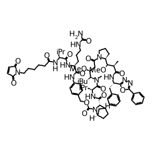 CC[C@H](C)[C@@H]([C@H](CC(=O)N1CCC[C@H]1[C@H](OC)[C@@H](C)C(=O)N[C@@H](Cc1ccccc1)c1nnc(-c2ccccc2)o1)OC)N(C)C(=O)[C@@H](NC(=O)[C@@H]1[C@H]2CC[C@H](C2)N1C(=O)OCc1ccc(NC(=O)[C@H](CCCNC(N)=O)NC(=O)[C@@H](NC(=O)CCCCCN2C(=O)C=CC2=O)C(C)C)cc1)C(C)C